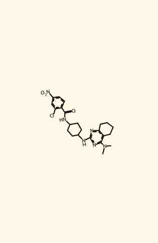 CN(C)c1nc(NC2CCC(NC(=O)c3ccc([N+](=O)[O-])cc3Cl)CC2)nc2c1CCCC2